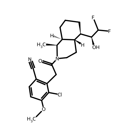 COc1ccc(C#N)c(CC(=O)N2CC[C@H]3[C@H]([C@H](O)C(F)F)CCC[C@@H]3[C@@H]2C)c1Cl